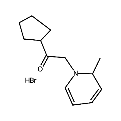 Br.CC1C=CC=CN1CC(=O)C1CCCC1